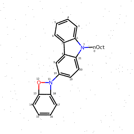 CCCCCCCCn1c2ccccc2c2cc(-n3oc4ccccc43)ccc21